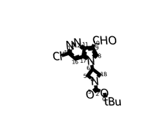 CC(C)(C)OC(=O)N1CC(n2cc(C=O)c3nnc(Cl)cc32)C1